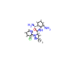 NCc1cccc(N)c1NC(=O)c1cc(C(F)(F)F)nn1-c1ncccc1Cl